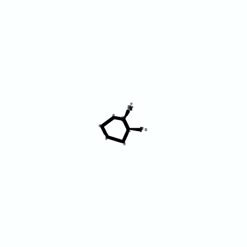 F[C@H]1CCCC[C@H]1Br